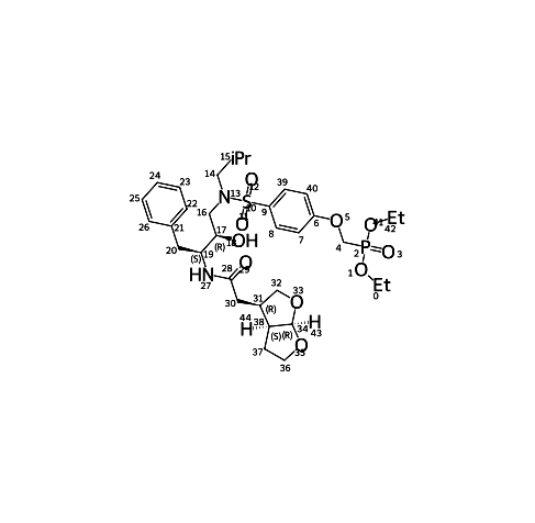 CCOP(=O)(COc1ccc(S(=O)(=O)N(CC(C)C)C[C@@H](O)[C@H](Cc2ccccc2)NC(=O)C[C@H]2CO[C@H]3OCC[C@@H]23)cc1)OCC